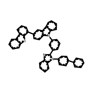 c1ccc(-c2ccc(-n3c(-c4cccc(-n5c6ccccc6c6cc(-c7cccc8c7sc7ccccc78)ccc65)c4)nc4ccccc43)cc2)cc1